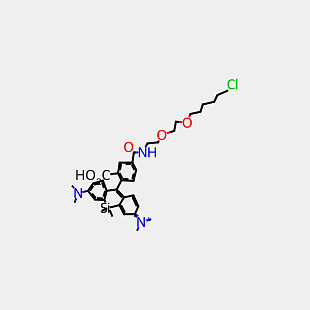 CN(C)c1ccc2c(c1)[Si](C)(C)C1=CC(=[N+](C)C)C=CC1=C2c1ccc(C(=O)NCCOCCOCCCCCCCl)cc1C(=O)O